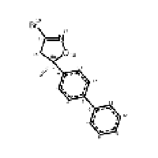 C[C@]1(c2ccc(-c3ccccc3)cc2)CC(Br)=NO1